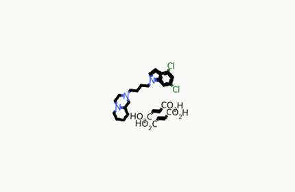 Clc1cc(Cl)c2ccn(CCCCN3CCN4CCCCC4C3)c2c1.O=C(O)C=CC(=O)O.O=C(O)C=CC(=O)O